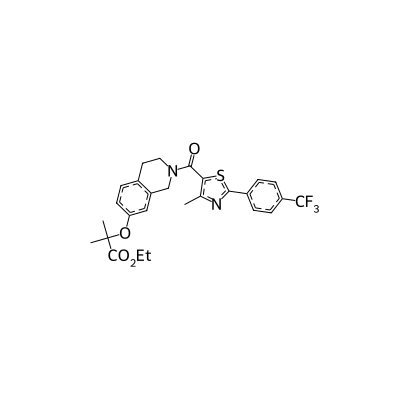 CCOC(=O)C(C)(C)Oc1ccc2c(c1)CN(C(=O)c1sc(-c3ccc(C(F)(F)F)cc3)nc1C)CC2